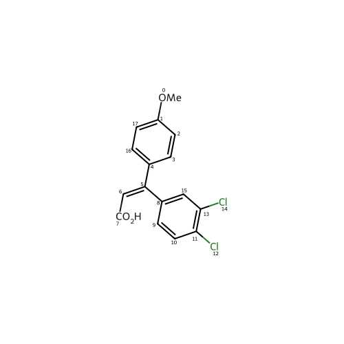 COc1ccc(C(=CC(=O)O)c2ccc(Cl)c(Cl)c2)cc1